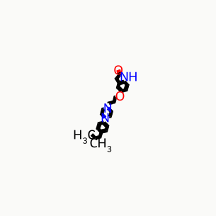 CC(C)Cc1ccc(N2CCN(CCCOc3ccc4c(c3)CC(=O)N4)CC2)cc1